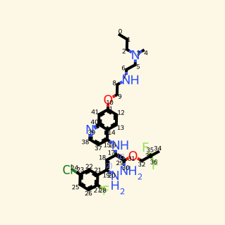 CCCN(C)CCNCCOc1ccc2c(NC(/C=C(\N)c3cc(Cl)ccc3F)=C(/N)OCC(C)(F)F)ccnc2c1